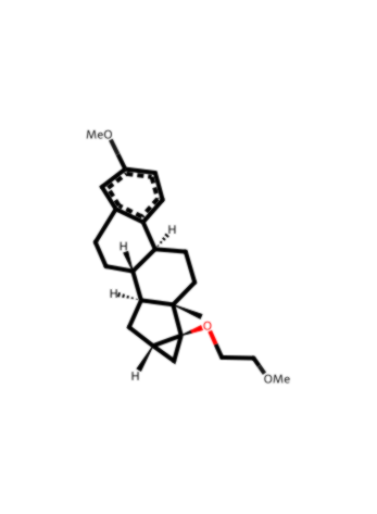 COCCO[C@@]12C[C@@H]1C[C@H]1[C@@H]3CCc4cc(OC)ccc4[C@H]3CC[C@@]12C